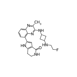 Cc1nc2cccc(-c3cc4c([nH]3)CCNC4=O)c2nc1NC1CC(NCCF)C1